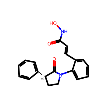 O=C(C=Cc1ccccc1N1CC[C@H](c2ccccc2)C1=O)NO